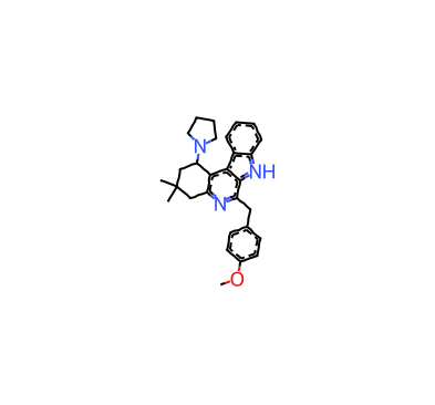 COc1ccc(Cc2nc3c(c4c2[nH]c2ccccc24)C(N2CCCC2)CC(C)(C)C3)cc1